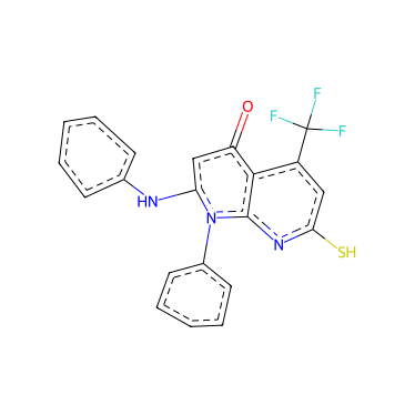 O=c1cc(Nc2ccccc2)n(-c2ccccc2)c2nc(S)cc(C(F)(F)F)c12